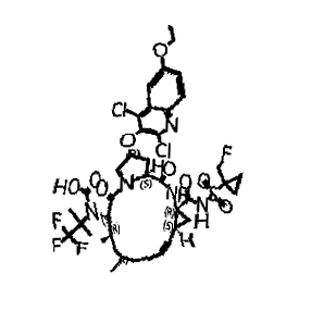 CCOc1ccc2nc(Cl)c(O[C@@H]3C[C@H]4C(=O)N[C@]5(C(=O)NS(=O)(=O)C6(CF)CC6)C[C@H]5C=CCC[C@@H](C)C[C@@H](C)[C@H](N(C(=O)O)C(C)(C)C(F)(F)F)C(=O)N4C3)c(Cl)c2c1